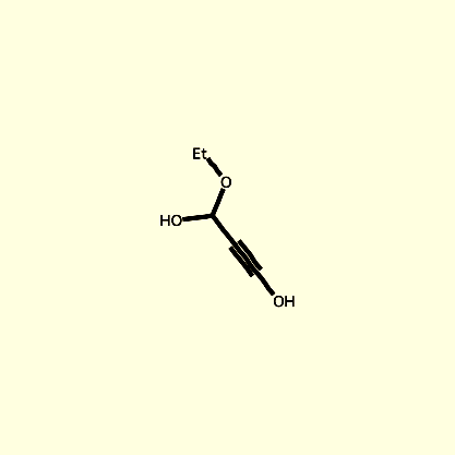 CCOC(O)C#CO